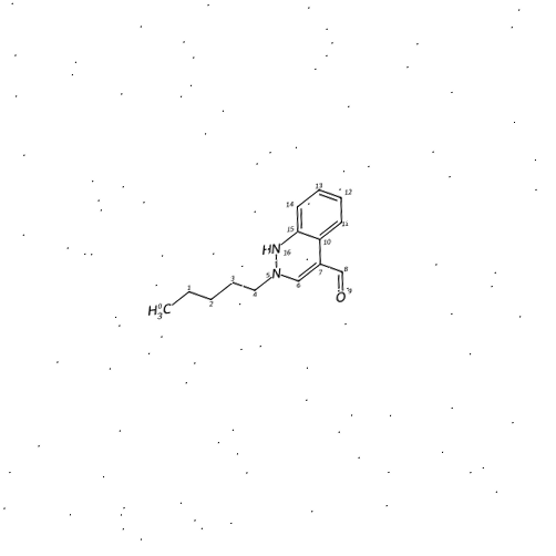 CCCCCN1C=C(C=O)c2ccccc2N1